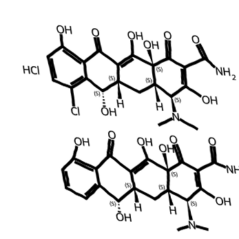 CN(C)[C@@H]1C(O)=C(C(N)=O)C(=O)[C@@]2(O)C(O)=C3C(=O)c4c(O)ccc(Cl)c4[C@@H](O)[C@H]3C[C@@H]12.CN(C)[C@@H]1C(O)=C(C(N)=O)C(=O)[C@@]2(O)C(O)=C3C(=O)c4c(O)cccc4[C@@H](O)[C@H]3C[C@@H]12.Cl